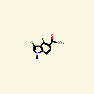 COC(=O)c1ccc2c(c(Cl)cn2C)c1F